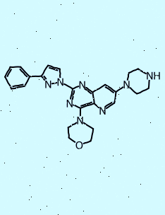 c1ccc(-c2ccn(-c3nc(N4CCOCC4)c4ncc(N5CCNCC5)cc4n3)n2)cc1